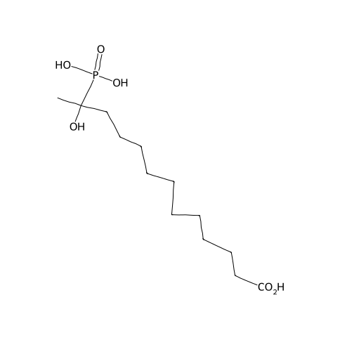 CC(O)(CCCCCCCCCCC(=O)O)P(=O)(O)O